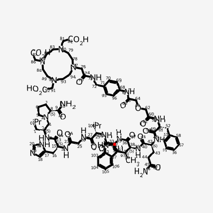 CC(C)C[C@@H](CN1CCC[C@H]1C(N)=O)NC(=O)[C@H](Cc1cnc[nH]1)NC(=O)CNC(=O)[C@@H](NC(=O)[C@H](C)NC(=O)[C@@H](NC(=O)[C@H](CCC(N)=O)NC(=O)[C@@H](Cc1ccccc1)NC(=O)COCC(=O)Nc1ccc(CNC(=O)CN2CCN(CC(=O)O)CCN(CC(=O)O)CCN(CC(=O)O)CC2)cc1)[C@@H](C)c1c[nH]c2ccccc12)C(C)C